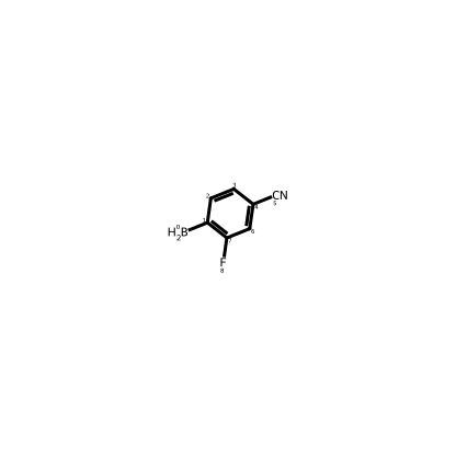 Bc1ccc(C#N)cc1F